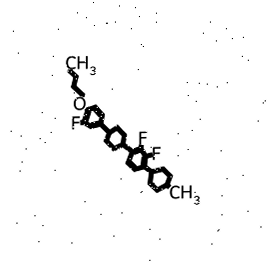 CCCCCOc1ccc(C2CCC(c3ccc(C4CCC(C)CC4)c(F)c3F)CC2)cc1F